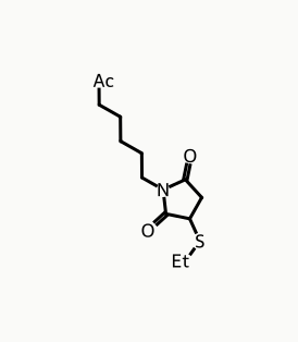 CCSC1CC(=O)N(CCCCCC(C)=O)C1=O